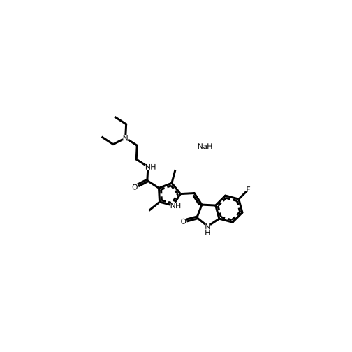 CCN(CC)CCNC(=O)c1c(C)[nH]c(/C=C2\C(=O)Nc3ccc(F)cc32)c1C.[NaH]